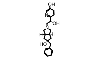 Oc1ccc([C@@H](O)CN2C[C@@H]3C[C@](O)(Cc4ccccc4)C[C@@H]3C2)nc1